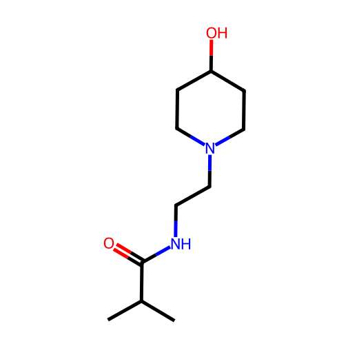 CC(C)C(=O)NCCN1CCC(O)CC1